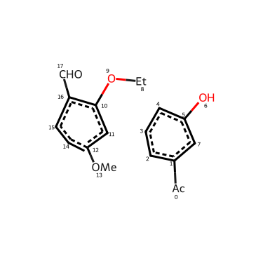 CC(=O)c1cccc(O)c1.CCOc1cc(OC)ccc1C=O